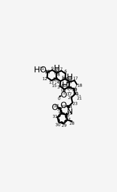 CO[C@H]1CC2[C@@H](CC[C@@H]3C[C@H](O)CC[C@]23C)[C@@H]2CC[C@H]([C@H](C)CCc3nc4c(C)cccc4c(=O)o3)[C@@]12C